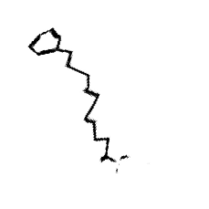 CN(C)C(=O)CCCCCCCCCc1ccccc1